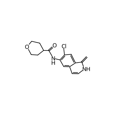 C=C1NC=Cc2cc(NC(=O)C3CCOCC3)c(Cl)cc21